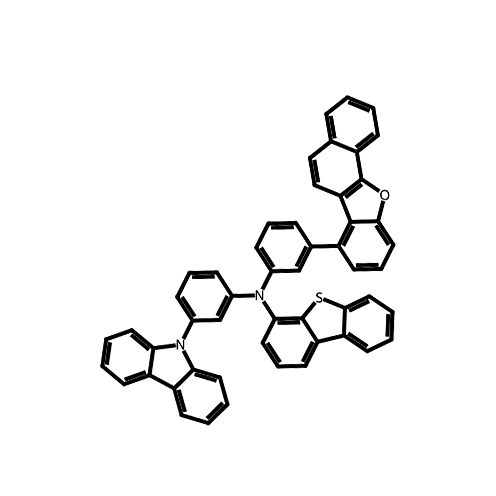 c1cc(-c2cccc3oc4c5ccccc5ccc4c23)cc(N(c2cccc(-n3c4ccccc4c4ccccc43)c2)c2cccc3c2sc2ccccc23)c1